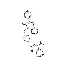 CN(C)c1nc(N[C@H]2CC[C@@H](CNC(=O)C(Sc3ccccc3)c3ccccc3)CC2)nc2ccccc12